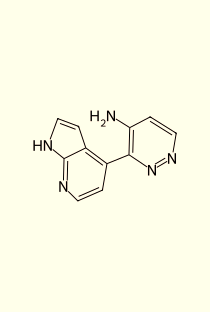 Nc1ccnnc1-c1ccnc2[nH]ccc12